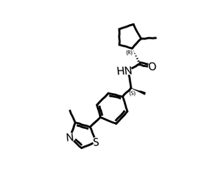 Cc1ncsc1-c1ccc([C@H](C)NC(=O)[C@@H]2CCCC2C)cc1